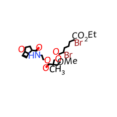 CCOC(=O)C(Br)CCCC(Br)C(=O)OCC(C)(COC)C(=O)OCCNC(=O)C1CC2OC23C=CC13